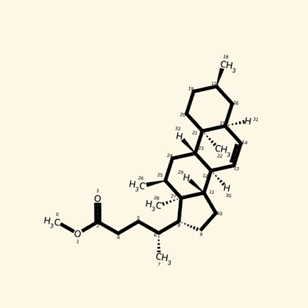 COC(=O)CC[C@@H](C)[C@H]1CC[C@H]2[C@@H]3C=C[C@@H]4C[C@H](C)CC[C@]4(C)[C@H]3C[C@H](C)[C@]12C